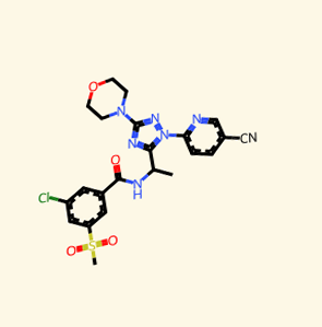 CC(NC(=O)c1cc(Cl)cc(S(C)(=O)=O)c1)c1nc(N2CCOCC2)nn1-c1ccc(C#N)cn1